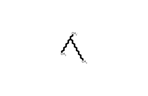 [CH2]CCC(CCCCCCCC)CCCCCCCCCCCC